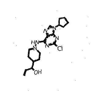 CCC(O)C1CCN(Nc2nc(Cl)nc3c2ncn3C2CCCC2)CC1